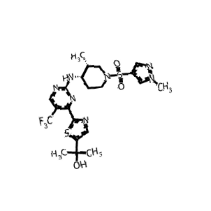 C[C@@H]1CN(S(=O)(=O)c2cnn(C)c2)CC[C@@H]1Nc1ncc(C(F)(F)F)c(-c2ncc(C(C)(C)O)s2)n1